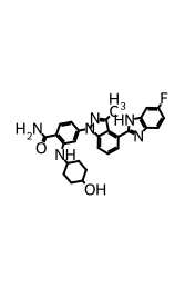 Cc1nn(-c2ccc(C(N)=O)c(NC3CCC(O)CC3)c2)c2cccc(-c3nc4ccc(F)cc4[nH]3)c12